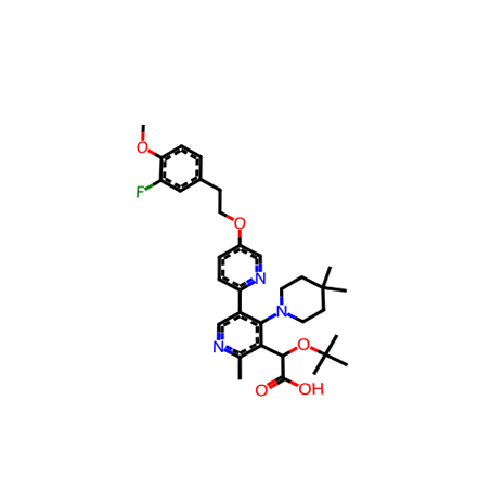 COc1ccc(CCOc2ccc(-c3cnc(C)c(C(OC(C)(C)C)C(=O)O)c3N3CCC(C)(C)CC3)nc2)cc1F